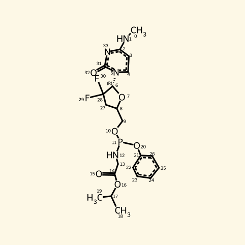 CNc1ccn([C@@H]2OC(COP(NCC(=O)OC(C)C)Oc3ccccc3)CC2(F)F)c(=O)n1